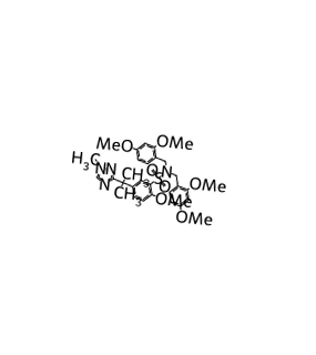 COc1ccc(CN(Cc2ccc(OC)cc2OC)S(=O)(=O)c2cc(C(C)(C)c3ncn(C)n3)ccc2OC)c(OC)c1